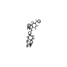 O=Cc1ccc2c(COc3ccc(OC(F)(F)F)cc3)noc2c1